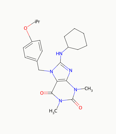 CC(C)Oc1ccc(Cn2c(NC3CCCCC3)nc3c2c(=O)n(C)c(=O)n3C)cc1